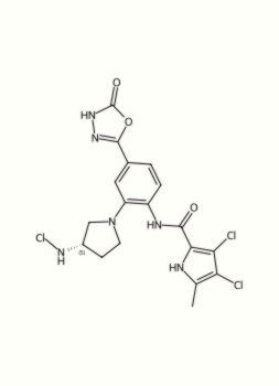 Cc1[nH]c(C(=O)Nc2ccc(-c3n[nH]c(=O)o3)cc2N2CC[C@H](NCl)C2)c(Cl)c1Cl